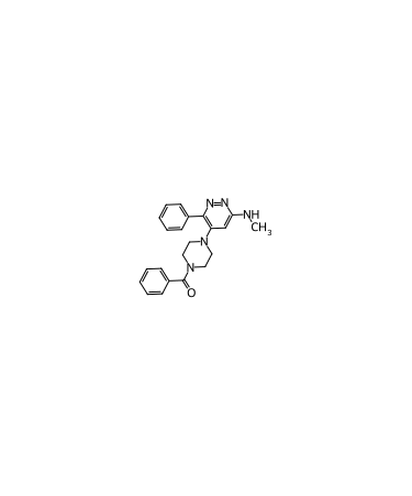 CNc1cc(N2CCN(C(=O)c3ccccc3)CC2)c(-c2ccccc2)nn1